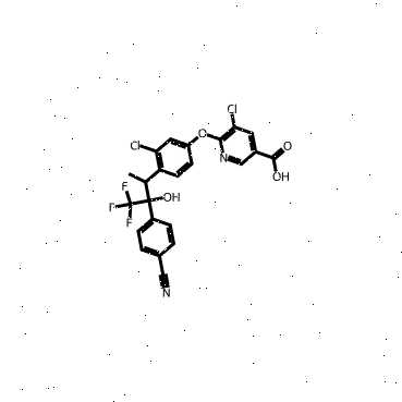 CC(c1ccc(Oc2ncc(C(=O)O)cc2Cl)cc1Cl)C(O)(c1ccc(C#N)cc1)C(F)(F)F